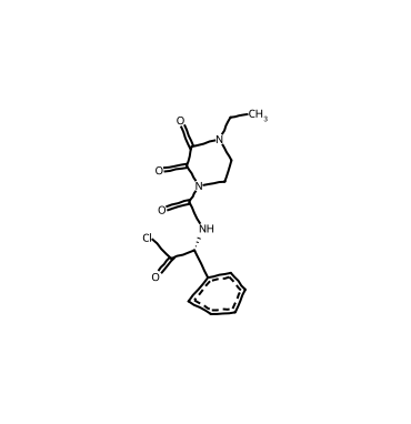 CCN1CCN(C(=O)N[C@@H](C(=O)Cl)c2ccccc2)C(=O)C1=O